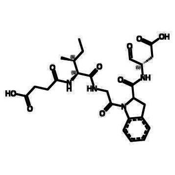 CC[C@H](C)[C@H](NC(=O)CCC(=O)O)C(=O)NCC(=O)N1c2ccccc2CC1C(=O)N[C@H](C=O)CC(=O)O